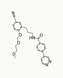 COCCOCOc1ccc(C#N)cc1CCCNC(=O)c1ccc(-c2ccnnc2)cc1